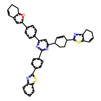 C1=Cc2sc(C3C=CC(c4cc(-c5ccc(-c6cc7c(o6)CCC=C7)cc5)nc(-c5ccc(-c6nc7ccccc7s6)cc5)n4)CC3)nc2CC1